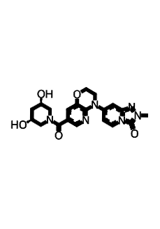 Cn1nc2cc(N3CCOc4cc(C(=O)N5C[C@H](O)C[C@H](O)C5)cnc43)ccn2c1=O